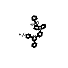 CC1C=CC(c2cc(-c3ccccc3)cc(C3=CCCC(N4C5C=CC=CC5C5C6=C(C=CC54)NC(c4ccccc4)O6)C3)n2)CC1